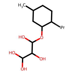 CC1CCC(C(C)C)C(OC(O)C(O)C(O)O)C1